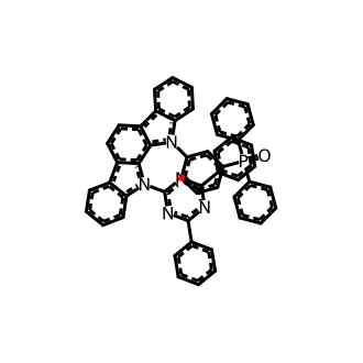 O=P(c1ccccc1)(c1ccccc1)c1cccc(-n2c3ccccc3c3ccc4c5ccccc5n(-c5nc(-c6ccccc6)nc(-c6ccccc6)n5)c4c32)c1